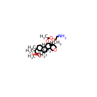 CC(=O)O[C@@H]1C[C@@]23COC[C@@](C)([C@@H]2CC[C@H]2C3=CC[C@@]3(C)[C@H](C(=O)O)[C@@](C)([C@H](C)C(C)C)CC[C@]23C)[C@H]1OCCN